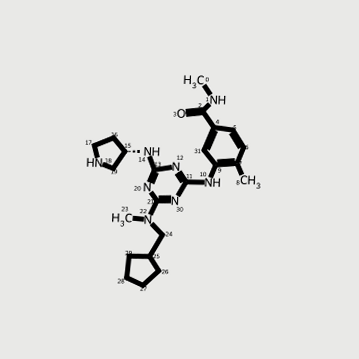 CNC(=O)c1ccc(C)c(Nc2nc(N[C@H]3CCNC3)nc(N(C)CC3CCCC3)n2)c1